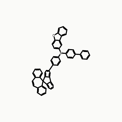 C1=Cc2ccccc2C2(c3ccccc31)c1ccccc1-c1cc(-c3ccc(N(c4ccc(-c5ccccc5)cc4)c4ccc5oc6ccccc6c5c4)cc3)ccc12